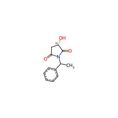 CC(c1ccccc1)N1C(=O)C[C@H](O)C1=O